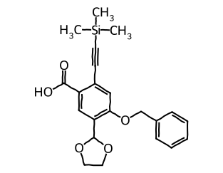 C[Si](C)(C)C#Cc1cc(OCc2ccccc2)c(C2OCCO2)cc1C(=O)O